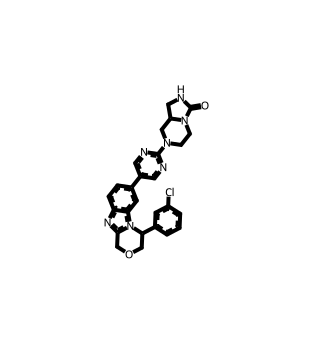 O=C1NCC2CN(c3ncc(-c4ccc5nc6n(c5c4)C(c4cccc(Cl)c4)COC6)cn3)CCN12